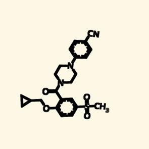 CS(=O)(=O)c1ccc(OCC2CC2)c(C(=O)N2CCN(c3ccc(C#N)cc3)CC2)c1